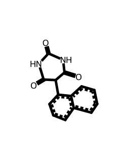 O=C1NC(=O)C(c2cccc3ccccc23)C(=O)N1